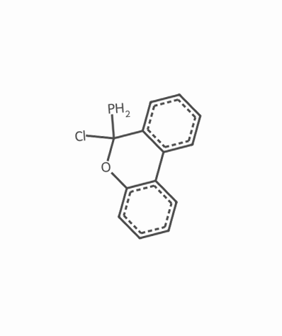 PC1(Cl)Oc2ccccc2-c2ccccc21